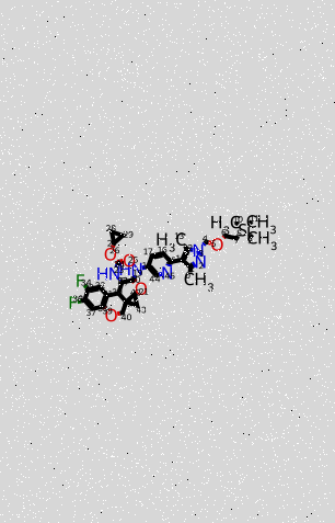 Cc1nn(COCC[Si](C)(C)C)c(C)c1-c1ccc(NC(=O)[C@@H](NC(=O)OC2CC2)C2c3cc(F)c(F)cc3OCC23CC3)cn1